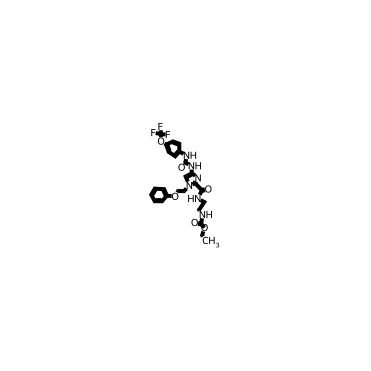 CCOC(=O)NCCNC(=O)c1nc(NC(=O)Nc2ccc(OC(F)(F)F)cc2)cn1CCOc1ccccc1